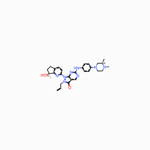 C=CCn1c(=O)c2cnc(Nc3ccc(N4CCN(C)[C@H](C)C4)cc3)nc2n1-c1ccc2c(n1)[C@@](C)(O)CC2